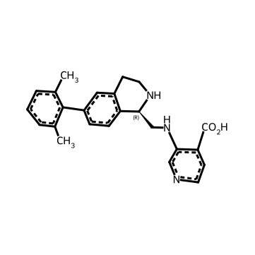 Cc1cccc(C)c1-c1ccc2c(c1)CCN[C@H]2CNc1cnccc1C(=O)O